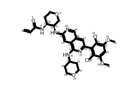 C=CC(=O)N[C@H]1CCOC[C@H]1Nc1cc2c(NC3CCOCC3)nc(-c3c(Cl)c(OC)cc(OC)c3Cl)cc2cn1